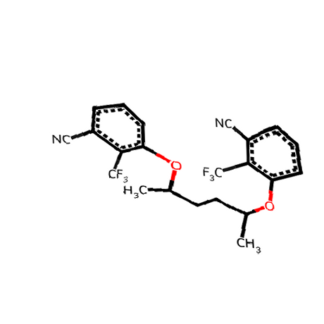 CC(CCC(C)Oc1cccc(C#N)c1C(F)(F)F)Oc1cccc(C#N)c1C(F)(F)F